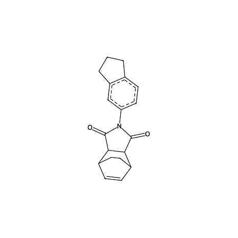 O=C1C2C3C=CC(CC3)C2C(=O)N1c1ccc2c(c1)CCC2